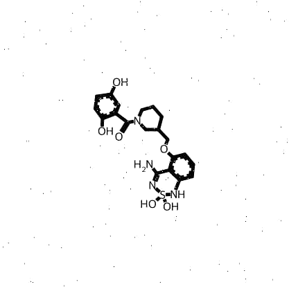 NC1=NS(O)(O)Nc2cccc(OCC3CCCN(C(=O)c4cc(O)ccc4O)C3)c21